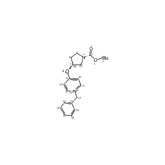 CC(C)(C)OC(=O)N1CC[C@H](Oc2cc[n+](Cc3ccccc3)cc2)C1